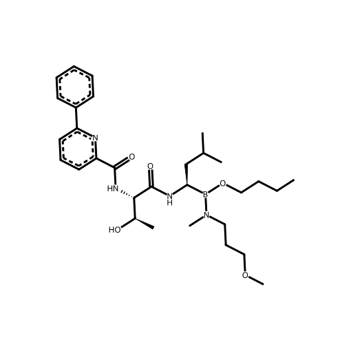 CCCCOB([C@H](CC(C)C)NC(=O)[C@@H](NC(=O)c1cccc(-c2ccccc2)n1)[C@@H](C)O)N(C)CCCOC